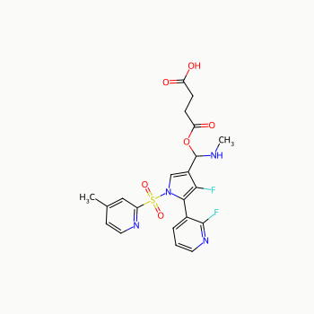 CNC(OC(=O)CCC(=O)O)c1cn(S(=O)(=O)c2cc(C)ccn2)c(-c2cccnc2F)c1F